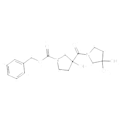 CC1(C)CCN(C(=O)C2(O)CCN(C(=O)OCc3ccccc3)C2)C1